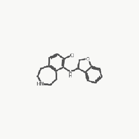 Clc1ccc2c(c1NC1COc3ccccc31)CCNCC2